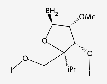 B[C@@H]1O[C@@](COI)(C(C)C)[C@@H](OI)[C@H]1OC